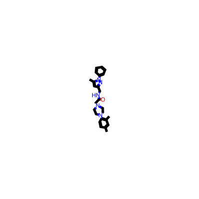 Cc1ccc(N2CCN(CC(=O)NCc3cc(C)n(-c4ccccc4)n3)CC2)c(C)c1